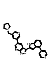 c1cc(-c2ccncc2)c2cc(-c3n[nH]c4ncc(-c5cncc(CN6CCCC6)c5)cc34)[nH]c2c1